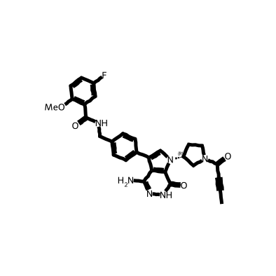 CC#CC(=O)N1CC[C@@H](n2cc(-c3ccc(CNC(=O)c4cc(F)ccc4OC)cc3)c3c(N)n[nH]c(=O)c32)C1